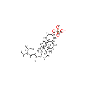 CC[C@H](/C=C/[C@@H](C)[C@H]1CC[C@H]2[C@@H]3CC=C4C[C@@H](OS(=O)(=O)O)CC[C@]4(C)[C@H]3CC[C@]12C)C(C)C